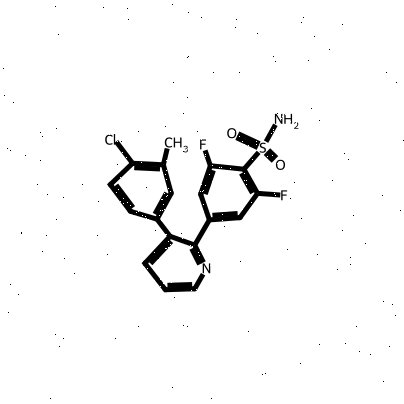 Cc1cc(-c2cccnc2-c2cc(F)c(S(N)(=O)=O)c(F)c2)ccc1Cl